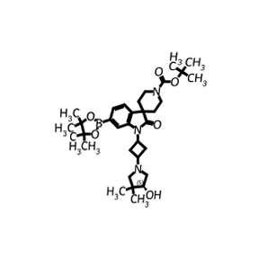 CC(C)(C)OC(=O)N1CCC2(CC1)C(=O)N(C1CC(N3C[C@@H](O)C(C)(C)C3)C1)c1cc(B3OC(C)(C)C(C)(C)O3)ccc12